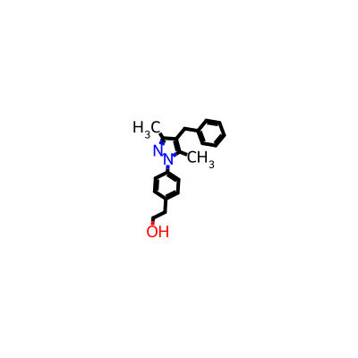 Cc1nn(-c2ccc(CCO)cc2)c(C)c1Cc1ccccc1